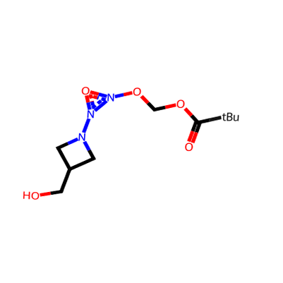 CC(C)(C)C(=O)OCOn1on1N1CC(CO)C1